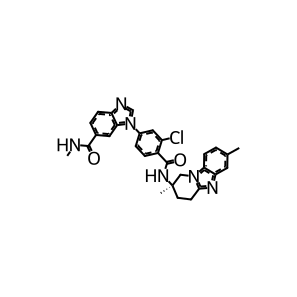 CNC(=O)c1ccc2ncn(-c3ccc(C(=O)N[C@]4(C)CCc5nc6cc(C)ccc6n5C4)c(Cl)c3)c2c1